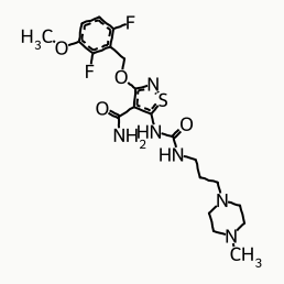 COc1ccc(F)c(COc2nsc(NC(=O)NCCCN3CCN(C)CC3)c2C(N)=O)c1F